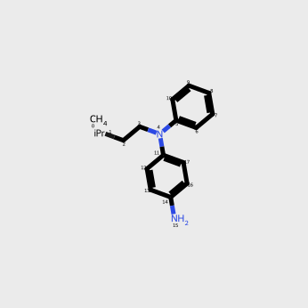 C.CC(C)CCN(c1ccccc1)c1ccc(N)cc1